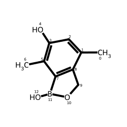 Cc1cc(O)c(C)c2c1COB2O